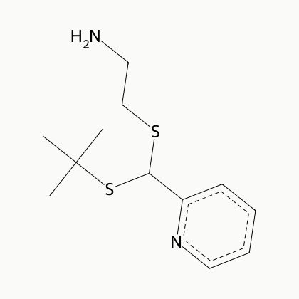 CC(C)(C)SC(SCCN)c1ccccn1